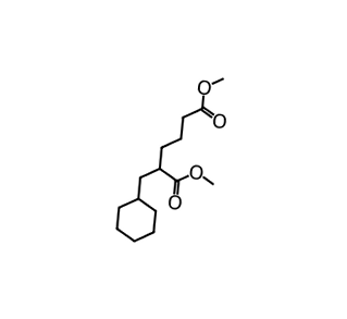 COC(=O)CCCC(CC1CCCCC1)C(=O)OC